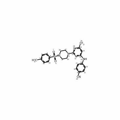 Cc1ccc(S(=O)(=O)N2CCN(c3nc(Nc4ccc(C#N)cc4)cc(C(F)(F)F)n3)CC2)cc1